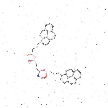 O=C(CCCc1ccc2ccc3cccc4ccc1c2c34)OC(=O)CC/C(=N/O)OC(=O)CCCc1ccc2ccc3cccc4ccc1c2c34